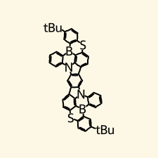 CC(C)(C)c1ccc2c(c1)B1c3ccccc3-n3c4cc5c6ccc7c8c6n(c5cc4c4ccc(c1c43)S2)-c1ccccc1B8c1cc(C(C)(C)C)ccc1S7